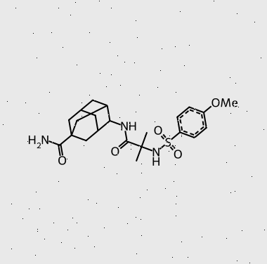 COc1ccc(S(=O)(=O)NC(C)(C)C(=O)NC2C3CC4CC2CC(C(N)=O)(C4)C3)cc1